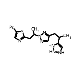 CC(Cc1cnn(C(C)Cc2ncc(C(C)C)s2)n1)C1=CNNN1